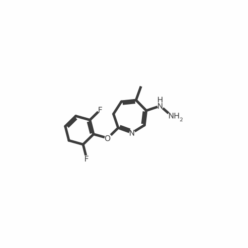 CC1=CCC(OC2=C(F)C=CCC2F)=NC=C1NN